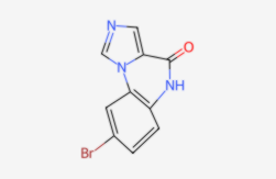 O=c1[nH]c2ccc(Br)cc2n2cncc12